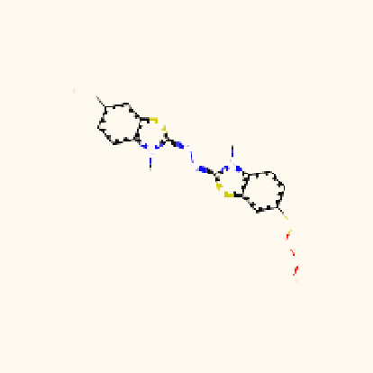 CCn1c(=NN=c2sc3cc(S(=O)(=O)O)ccc3n2CC)sc2cc(SOOO)ccc21